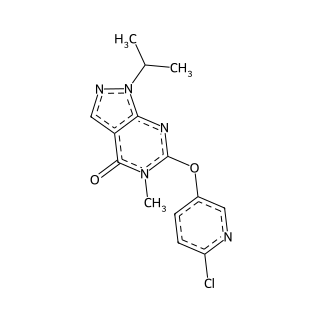 CC(C)n1ncc2c(=O)n(C)c(Oc3ccc(Cl)nc3)nc21